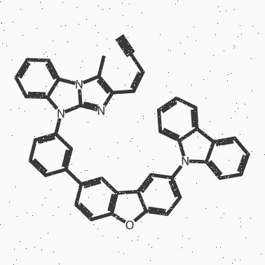 C#C/C=C\c1nc2n(-c3cccc(-c4ccc5oc6ccc(-n7c8ccccc8c8ccccc87)cc6c5c4)c3)c3ccccc3n2c1C